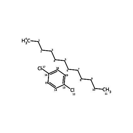 CCCCCCCCCCCC.Clc1ccc(Cl)cc1